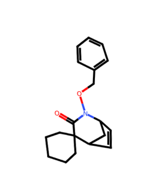 O=C1N(OCc2ccccc2)C2C=CC(C2)C12CCCCC2